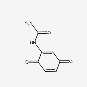 NC(=O)NC1=CC(=O)C=CC1=O